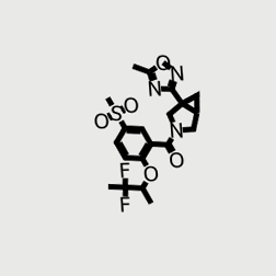 Cc1nc(C23CC2CN(C(=O)c2cc(S(C)(=O)=O)ccc2OC(C)C(C)(F)F)C3)no1